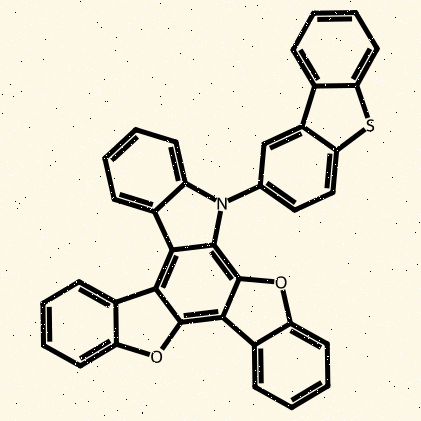 c1ccc2c(c1)oc1c2c2oc3ccccc3c2c2c3ccccc3n(-c3ccc4sc5ccccc5c4c3)c12